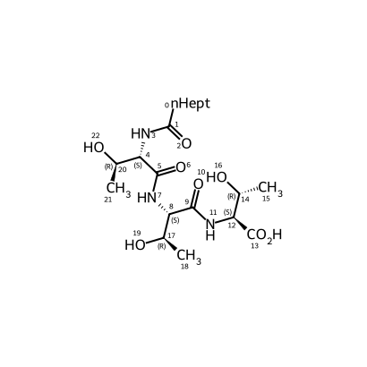 CCCCCCCC(=O)N[C@H](C(=O)N[C@H](C(=O)N[C@H](C(=O)O)[C@@H](C)O)[C@@H](C)O)[C@@H](C)O